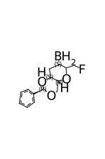 B[C@H]1C[C@@H]2O[C@H](c3ccccc3)OC[C@H]2OC1CF